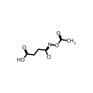 CC(=O)ON=C(Cl)CCC(=O)O